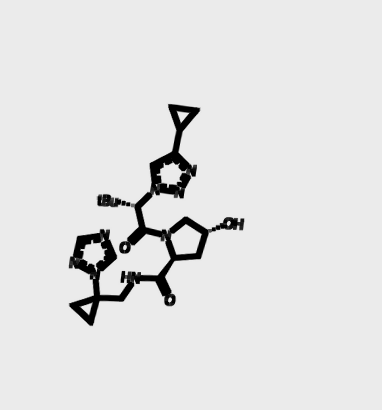 CC(C)(C)[C@@H](C(=O)N1C[C@H](O)C[C@H]1C(=O)NCC1(n2cncn2)CC1)n1cc(C2CC2)nn1